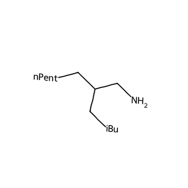 CCCCCCC(CN)CC(C)CC